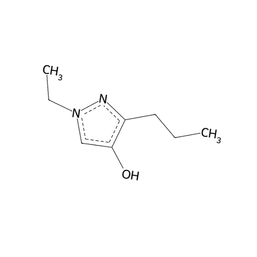 CCCc1nn(CC)cc1O